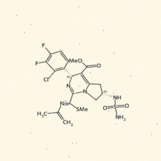 C=C(C)/N=C(\SC)C1=N[C@H](c2ccc(F)c(F)c2Cl)C(C(=O)OC)=C2C[C@H](NS(N)(=O)=O)CN12